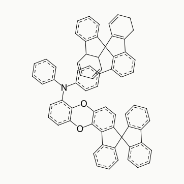 C1=CC2c3ccccc3C3(C4=C(CCC=C4)c4cccc(-c5ccc(N(c6ccccc6)c6cccc7c6Oc6ccc8c(c6O7)-c6ccccc6C86c7ccccc7-c7ccccc76)cc5)c43)C2C=C1